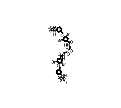 CCS(=O)(=O)Nc1cccc(COc2c(Br)cc(C(=O)NCC(=O)OC(=O)CNC(=O)c3cc(Br)c(OCc4cccc(NS(C)(=O)=O)c4)c(Br)c3)cc2Br)c1